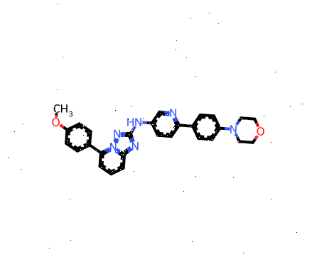 COc1ccc(-c2cccc3nc(Nc4ccc(-c5ccc(N6CCOCC6)cc5)nc4)nn23)cc1